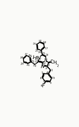 C=c1c(Cc2ccc(F)cc2)nc2n1C=C(c1ccccc1)NC=2Cc1ccccc1